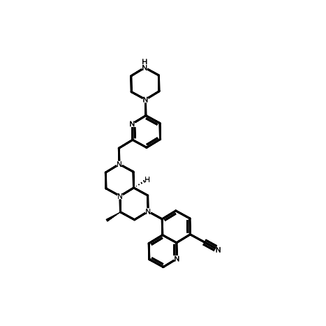 C[C@@H]1CN(c2ccc(C#N)c3ncccc23)C[C@@H]2CN(Cc3cccc(N4CCNCC4)n3)CCN21